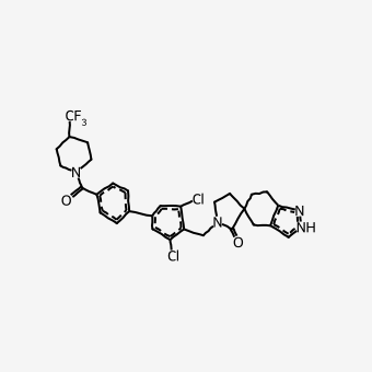 O=C(c1ccc(-c2cc(Cl)c(CN3CCC4(CCc5n[nH]cc5C4)C3=O)c(Cl)c2)cc1)N1CCC(C(F)(F)F)CC1